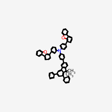 CC1(C)c2ccc(-c3ccc(N(c4ccc(-c5cccc6c5oc5ccccc56)cc4)c4cccc(-c5cccc6c5oc5ccccc56)c4)cc3)cc2-c2cc(-c3ccccc3)cc(-c3ccccc3)c21